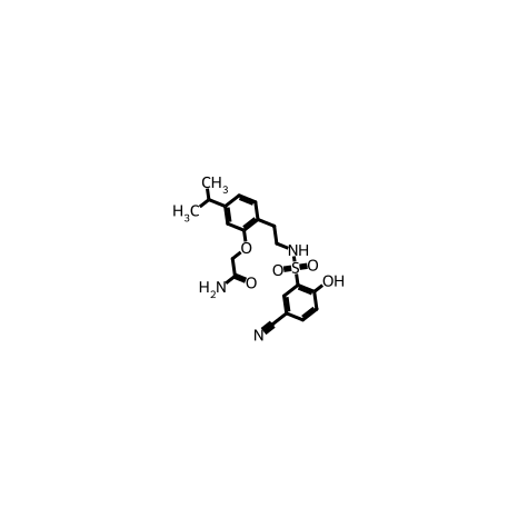 CC(C)c1ccc(CCNS(=O)(=O)c2cc(C#N)ccc2O)c(OCC(N)=O)c1